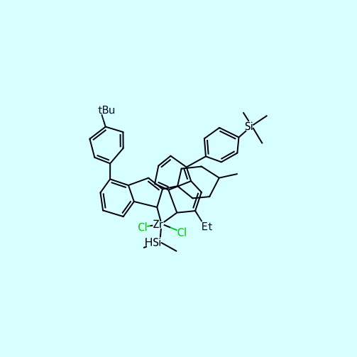 CCC1=Cc2c(-c3ccc([Si](C)(C)C)cc3)cccc2[CH]1[Zr]([Cl])([Cl])([CH]1C(C2CCC(C)CC2)=Cc2c(-c3ccc(C(C)(C)C)cc3)cccc21)[SiH](C)C